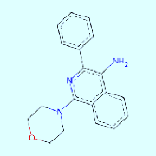 Nc1c(-c2ccccc2)nc(N2CCOCC2)c2ccccc12